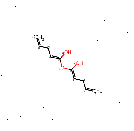 C=CC/C=C(\O)O/C(O)=C/CC=C